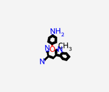 Cn1c(Oc2ccc(N)cc2)c(C=C(C#N)C#N)c2ccccc21